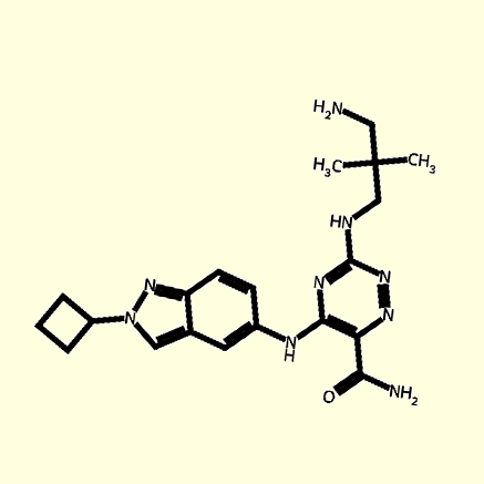 CC(C)(CN)CNc1nnc(C(N)=O)c(Nc2ccc3nn(C4CCC4)cc3c2)n1